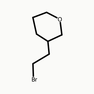 BrCCC1CCCOC1